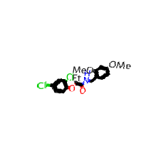 CCC(Oc1ccc(Cl)cc1Cl)C(=O)NCc1ccc(OC)cc1OC